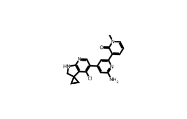 Cn1cccc(-c2cc(-c3cnc4c(c3Cl)C3(CC3)CN4)cc(N)n2)c1=O